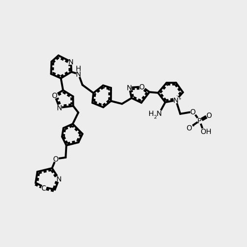 Nc1c(-c2cc(Cc3ccc(CNc4ncccc4-c4cc(Cc5ccc(COc6ccccn6)cc5)no4)cc3)no2)ccc[n+]1COP(=O)([O-])O